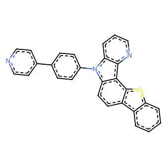 c1ccc2c(c1)sc1c2ccc2c1c1ncccc1n2-c1ccc(-c2ccncc2)cc1